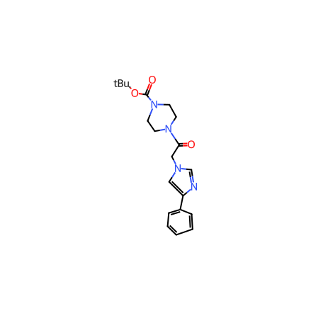 CC(C)(C)OC(=O)N1CCN(C(=O)Cn2cnc(-c3ccccc3)c2)CC1